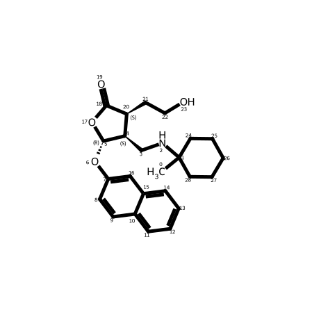 CC1(NC[C@H]2[C@H](Oc3ccc4ccccc4c3)OC(=O)[C@H]2CCO)CCCCC1